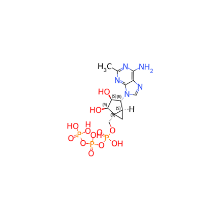 Cc1nc(N)c2ncn([C@H]3[C@H](O)[C@H](O)[C@]4(COP(=O)(O)OP(=O)(O)OP(=O)(O)O)C[C@H]34)c2n1